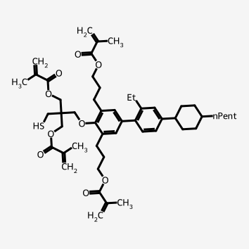 C=C(C)C(=O)OCCCc1cc(-c2ccc(C3CCC(CCCCC)CC3)cc2CC)cc(CCCOC(=O)C(=C)C)c1OCC(CS)(COC(=O)C(=C)C)COC(=O)C(=C)C